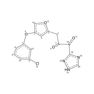 O=C(Cc1cc(Oc2cccc(Cl)c2)co1)C(=O)c1nc[nH]n1